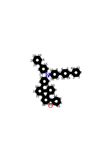 c1ccc(-c2ccc(-c3ccc(N(c4ccc(-c5ccccc5)cc4)c4ccc(-c5cccc6c7ccc8oc9ccccc9c8c7c7ccccc7c56)cc4)cc3)cc2)cc1